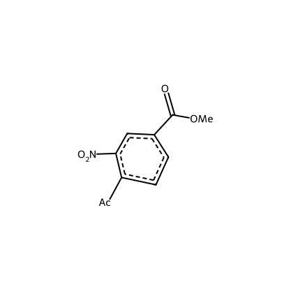 COC(=O)c1ccc(C(C)=O)c([N+](=O)[O-])c1